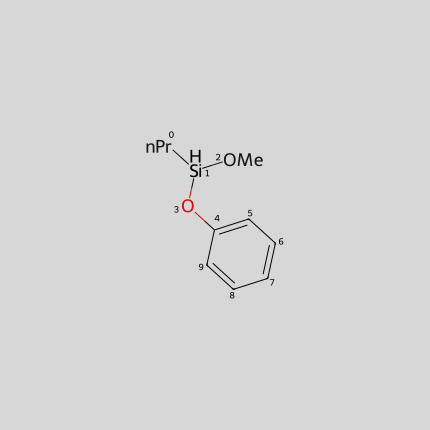 CCC[SiH](OC)Oc1ccccc1